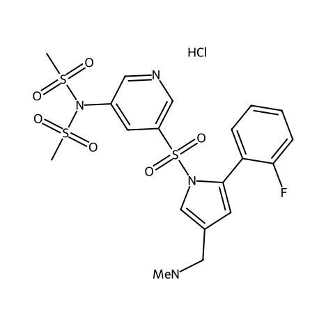 CNCc1cc(-c2ccccc2F)n(S(=O)(=O)c2cncc(N(S(C)(=O)=O)S(C)(=O)=O)c2)c1.Cl